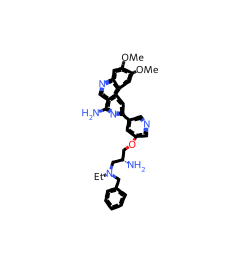 CCN(Cc1ccccc1)C[C@@H](N)COc1cncc(-c2cc3c(cnc4cc(OC)c(OC)cc43)c(N)n2)c1